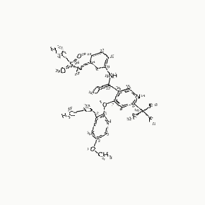 COc1ccc(Oc2cc(C(F)(F)F)ncc2C(=O)NC2=CC=CC(=NS(C)(=O)=O)C2)c(OC)c1